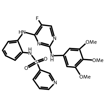 COc1cc(Nc2ncc(F)c(Nc3ccccc3NS(=O)(=O)c3cccnc3)n2)cc(OC)c1OC